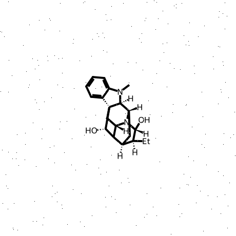 CC[C@H]1[C@@H]2C[C@H]3[C@@H]4N(C)c5ccccc5[C@]45C[C@@H](C2[C@@H]5O)N3[C@@H]1O